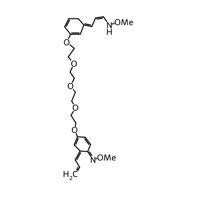 C=C/C=C1/C=C(OCCOCCOCCOCCOC2=C/C(=C/C=C\NOC)CC=C2)C=C/C1=N\OC